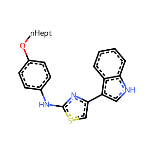 CCCCCCCOc1ccc(Nc2nc(-c3c[nH]c4ccccc34)cs2)cc1